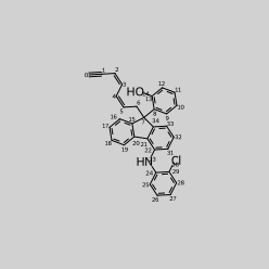 C#C/C=C\C=C/CC1(c2ccccc2O)c2ccccc2-c2c(Nc3ccccc3Cl)cccc21